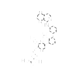 COc1nc(-c2cccc(-c3cccc(Nc4nccc5nccnc45)c3Cl)c2Cl)cnc1CN1CC(C)(C(=O)O)C1